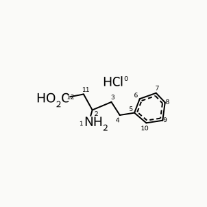 Cl.NC(CCc1ccccc1)CC(=O)O